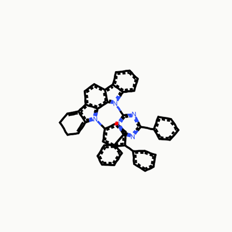 C1=c2c(n(-c3ccc(-c4ccccc4)cc3)c3c2ccc2c4ccccc4n(-c4nc(-c5ccccc5)nc(-c5ccccc5)n4)c23)=CCC1